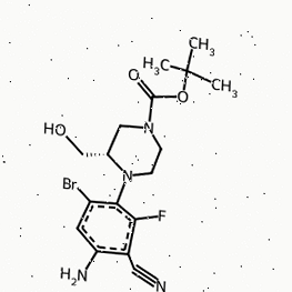 CC(C)(C)OC(=O)N1CCN(c2c(Br)cc(N)c(C#N)c2F)[C@H](CO)C1